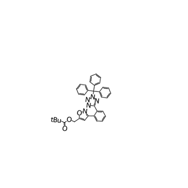 CC(C)(C)C(=O)OCc1cc(-c2ccccc2-c2nnn(C(c3ccccc3)(c3ccccc3)c3ccccc3)n2)no1